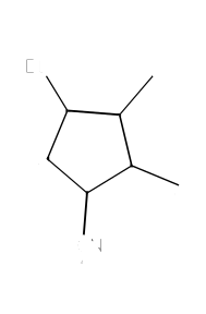 CCC1CC(C#N)C(C)C1C